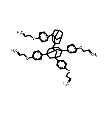 C=CCOc1ccc(C23CC4CC(C2)CC(C25CC6(c7ccc(OCC=C)cc7)CC(c7ccc(OCC=C)cc7)(CC(c7ccc(OCC=C)cc7)(C6)C2)C5)(C4)C3)cc1